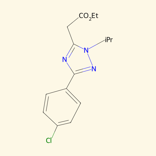 CCOC(=O)Cc1nc(-c2ccc(Cl)cc2)nn1C(C)C